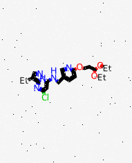 CCOC(CCOc1ccc(CNc2cc(Cl)nc3c(CC)cnn23)cn1)OCC